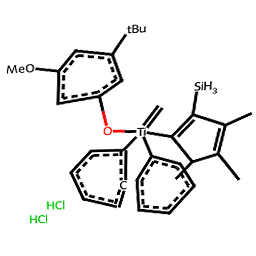 Cl.Cl.[CH2]=[Ti]([O]c1cc(OC)cc(C(C)(C)C)c1)([C]1=C([SiH3])C(C)=C(C)C1C)([c]1ccccc1)[c]1ccccc1